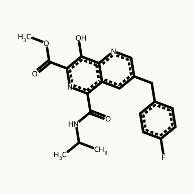 COC(=O)c1nc(C(=O)NC(C)C)c2cc(Cc3ccc(F)cc3)cnc2c1O